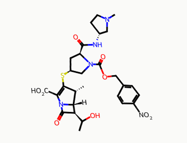 CC(O)[C@H]1C(=O)N2C(C(=O)O)=C(S[C@H]3C[C@@H](C(=O)N[C@@H]4CCN(C)C4)N(C(=O)OCc4ccc([N+](=O)[O-])cc4)C3)[C@H](C)[C@H]12